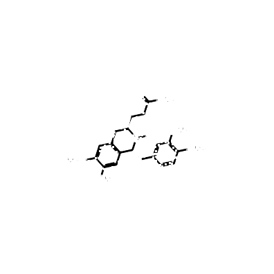 COC(=O)CC[C@@H]1Cc2cc(OC)c(OC)cc2[C@@H](Cc2ccc(OC)c(OC)c2)N1C.I